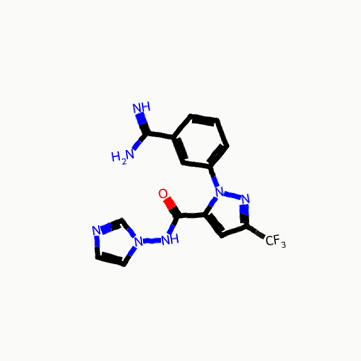 N=C(N)c1cccc(-n2nc(C(F)(F)F)cc2C(=O)Nn2ccnc2)c1